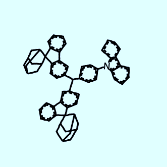 c1ccc2c(c1)-c1cc(C(c3ccc(-n4c5ccccc5c5ccccc54)cc3)c3ccc4c(c3)-c3ccccc3C43C4CC5CC(C4)CC3C5)ccc1C21C2CC3CC(C2)CC1C3